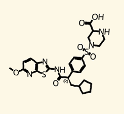 COc1ccc2nc(NC(=O)[C@H](CC3CCCC3)c3ccc(S(=O)(=O)N4CCNC(C(=O)O)C4)cc3)sc2n1